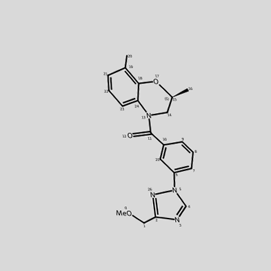 COCc1ncn(-c2cccc(C(=O)N3C[C@H](C)Oc4c(C)cccc43)c2)n1